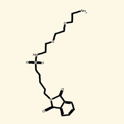 NCCOCCOCCNS(=O)(=O)CCCCCN1C(=O)c2ccccc2C1=O